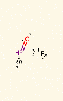 O=P.[Fe].[KH].[Zn]